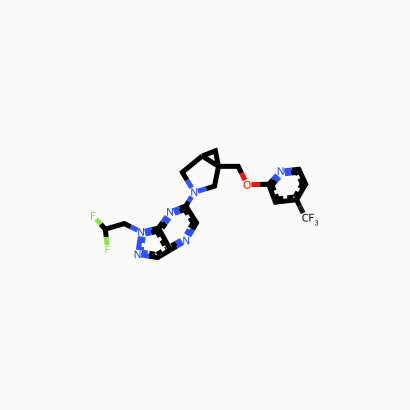 FC(F)Cn1ncc2ncc(N3CC4CC4(COc4cc(C(F)(F)F)ccn4)C3)nc21